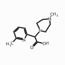 Cc1cccc(C(C(=O)O)N2CCN(C)CC2)n1